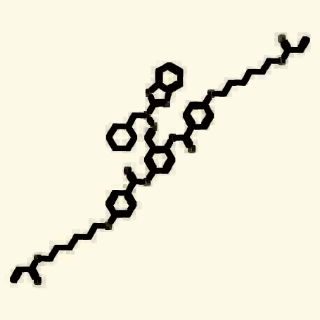 C=CC(=O)OCCCCCCOc1ccc(C(=O)Oc2ccc(OC(=O)c3ccc(OCCCCCCOC(=O)C=C)cc3)c(/C=N/N(CC3CCCCC3)c3nc4ccccc4s3)c2)cc1